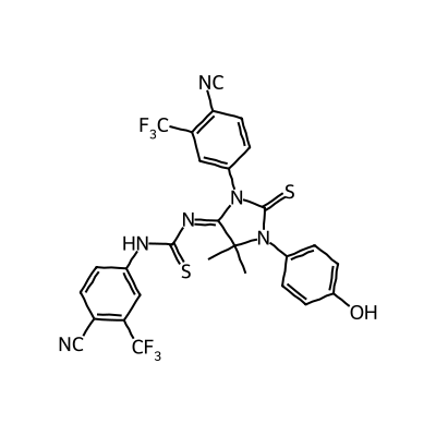 [C-]#[N+]c1ccc(N2C(=S)N(c3ccc(O)cc3)C(C)(C)C2=NC(=S)Nc2ccc(C#N)c(C(F)(F)F)c2)cc1C(F)(F)F